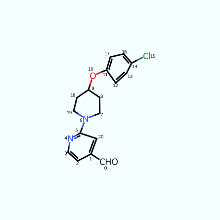 O=Cc1ccnc(N2CCC(Oc3ccc(Cl)cc3)CC2)c1